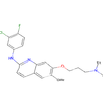 CCN(CC)CCCOc1cc2nc(Nc3ccc(F)c(Cl)c3)ccc2cc1OC